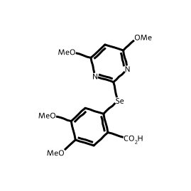 COc1cc(OC)nc([Se]c2cc(OC)c(OC)cc2C(=O)O)n1